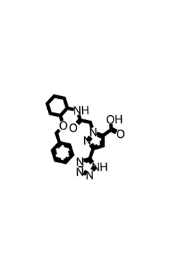 O=C(Cn1nc(-c2nnn[nH]2)cc1C(=O)O)NC1CCCCC1OCc1ccccc1